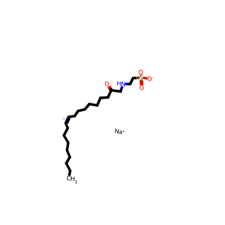 CCCCCCCC/C=C\CCCCCCCC(=O)CNCCS(=O)(=O)[O-].[Na+]